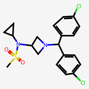 CS(=O)(=O)N(C1CC1)C1CN(C(c2ccc(Cl)cc2)c2ccc(Cl)cc2)C1